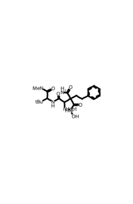 CCCCCCCC(C(=O)NC(C(=O)NC)C(C)(C)C)C(CCc1ccccc1)(C(N)=O)C(=O)NO